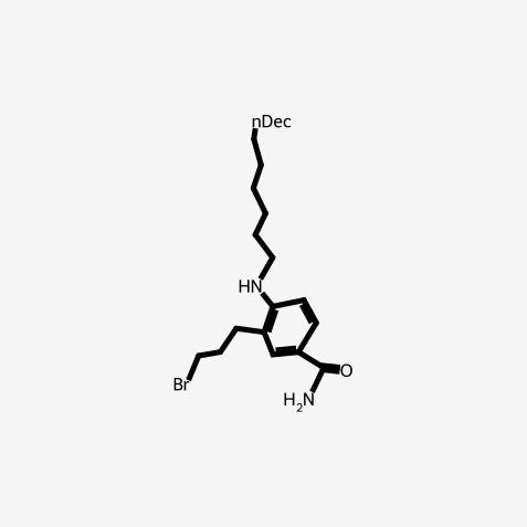 CCCCCCCCCCCCCCCCNc1ccc(C(N)=O)cc1CCCBr